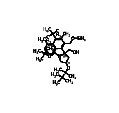 Cc1c(CO[SiH3])c([C@]2(CO)C[C@@H](O[Si](C)(C)C(C)(C)C)CN2C(=O)OC(C)(C)C)c2cccc(C)c2c1C(C)(C)C